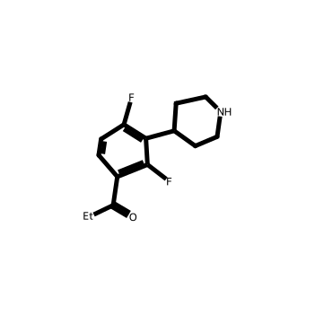 CCC(=O)c1ccc(F)c(C2CCNCC2)c1F